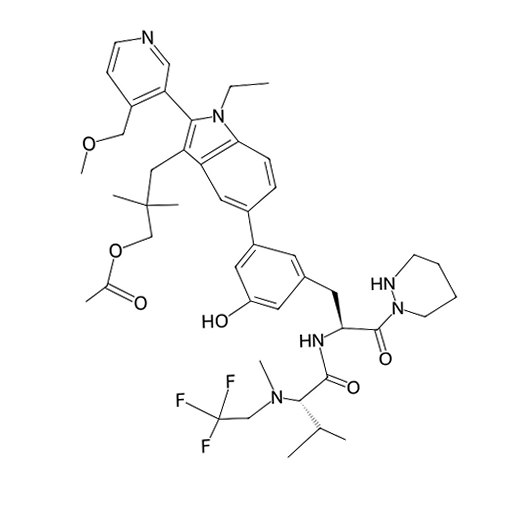 CCn1c(-c2cnccc2COC)c(CC(C)(C)COC(C)=O)c2cc(-c3cc(O)cc(C[C@H](NC(=O)[C@H](C(C)C)N(C)CC(F)(F)F)C(=O)N4CCCCN4)c3)ccc21